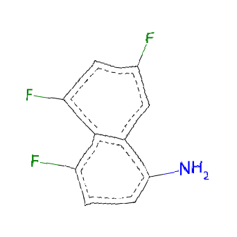 Nc1ccc(F)c2c(F)cc(F)cc12